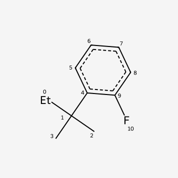 CCC(C)(C)c1ccccc1F